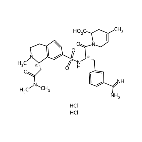 CC1=CCN(C(=O)[C@H](Cc2cccc(C(=N)N)c2)NS(=O)(=O)c2ccc3c(c2)[C@H](CC(=O)N(C)C)N(C)CC3)C(C(=O)O)C1.Cl.Cl